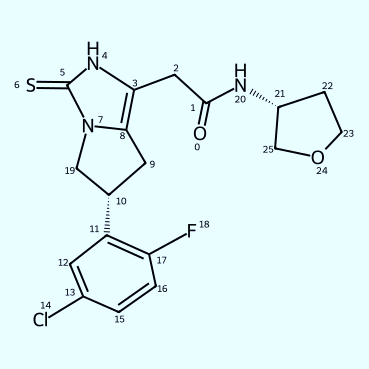 O=C(Cc1[nH]c(=S)n2c1C[C@H](c1cc(Cl)ccc1F)C2)N[C@@H]1CCOC1